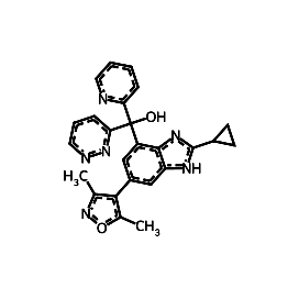 Cc1noc(C)c1-c1cc(C(O)(c2ccccn2)c2cccnn2)c2nc(C3CC3)[nH]c2c1